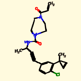 C=CC(=O)N1CCN(C(=O)NC(C)C#Cc2ccc(Cl)c(C3(C)CC3)c2)CC1